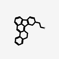 FCCC1C=CC2=C(C1)c1c3c(cc4cccc2c14)-c1ccccc1CC3